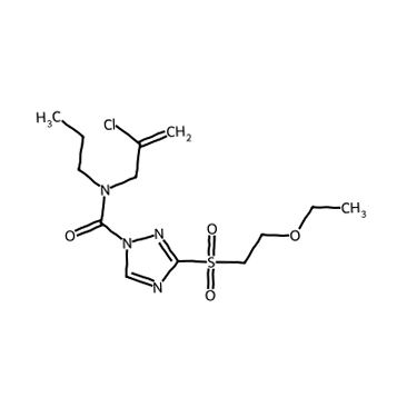 C=C(Cl)CN(CCC)C(=O)n1cnc(S(=O)(=O)CCOCC)n1